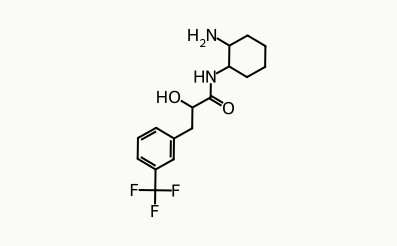 NC1CCCCC1NC(=O)C(O)Cc1cccc(C(F)(F)F)c1